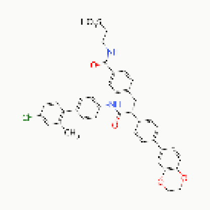 Cc1cc(Cl)ccc1-c1ccc(NC(=O)[C@H](Cc2ccc(C(=O)NCCS(=O)(=O)O)cc2)c2ccc(-c3ccc4c(c3)OCCO4)cc2)cc1